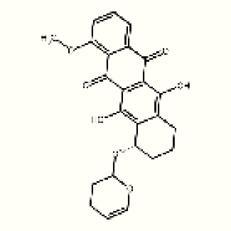 COc1cccc2c1C(=O)c1c(O)c3c(c(O)c1C2=O)CCC[C@@H]3OC1CCC=CO1